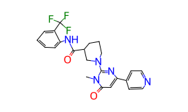 Cn1c(N2CCCC(C(=O)Nc3ccccc3C(F)(F)F)C2)nc(-c2ccncc2)cc1=O